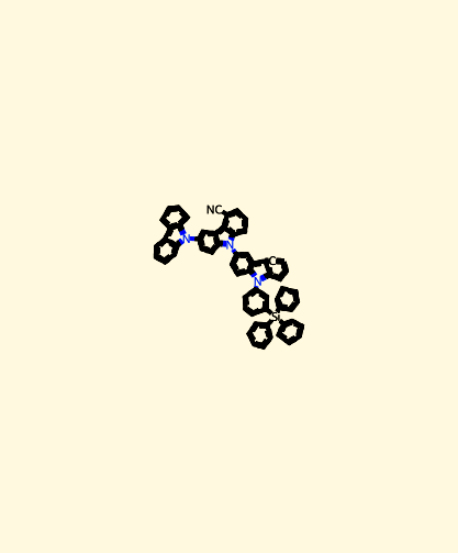 N#Cc1cccc2c1c1cc(-n3c4ccccc4c4ccccc43)ccc1n2-c1ccc2c(c1)c1ccccc1n2-c1cccc([Si](c2ccccc2)(c2ccccc2)c2ccccc2)c1